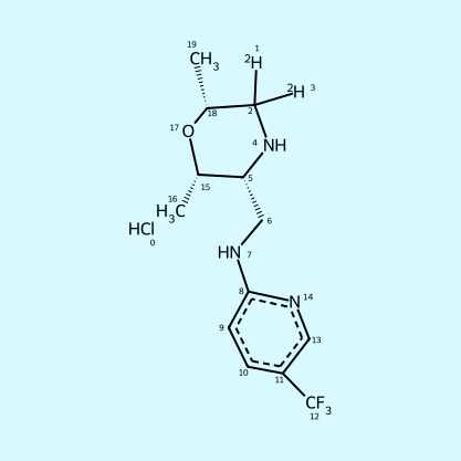 Cl.[2H]C1([2H])N[C@H](CNc2ccc(C(F)(F)F)cn2)[C@H](C)O[C@@H]1C